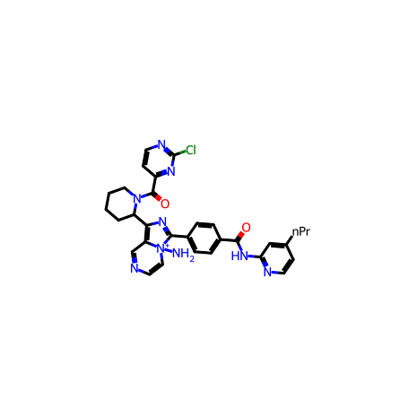 CCCc1ccnc(NC(=O)c2ccc(C3=NC(C4CCCCN4C(=O)c4ccnc(Cl)n4)=C4C=NC=C[N+]34N)cc2)c1